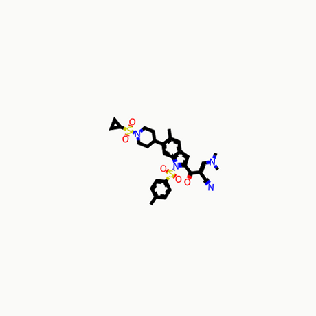 Cc1ccc(S(=O)(=O)n2c(C(=O)/C(C#N)=C/N(C)C)cc3cc(C)c(C4CCN(S(=O)(=O)C5CC5)CC4)cc32)cc1